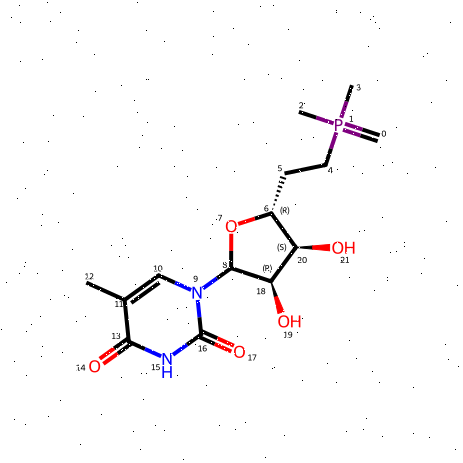 C=P(C)(C)CC[C@H]1OC(n2cc(C)c(=O)[nH]c2=O)[C@H](O)[C@@H]1O